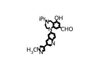 CC(C)N1CCN(c2ccc3ncc(-c4cnn(C)c4)cc3c2)c2cc(C=O)cc(O)c2C1